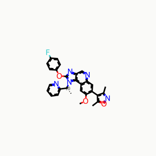 COc1cc2c(cc1-c1c(C)noc1C)ncc1nc(Oc3ccc(F)cc3)n([C@H](C)c3ccccn3)c12